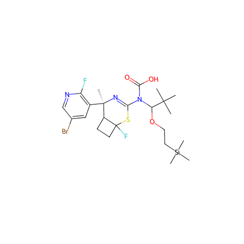 CC(C)(C)C(OCC[Si](C)(C)C)N(C(=O)O)C1=N[C@](C)(c2cc(Br)cnc2F)C2CCC2(F)S1